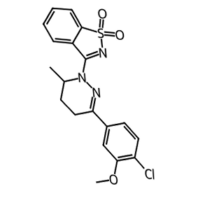 COc1cc(C2=NN(C3=NS(=O)(=O)c4ccccc43)C(C)CC2)ccc1Cl